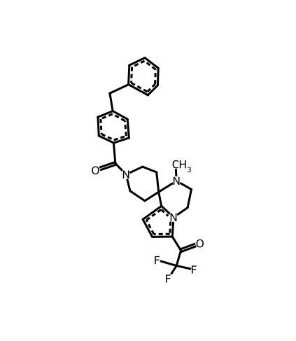 CN1CCn2c(C(=O)C(F)(F)F)ccc2C12CCN(C(=O)c1ccc(Cc3ccccc3)cc1)CC2